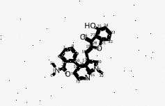 CN(C)C(=O)c1ccccc1-c1ccnc2c1c(C=C1Oc3cccc(O)c3C1=O)cn2C